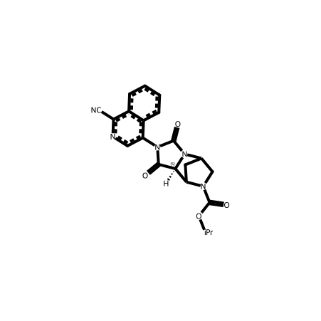 CC(C)OC(=O)N1CC2CC1[C@H]1C(=O)N(c3cnc(C#N)c4ccccc34)C(=O)N21